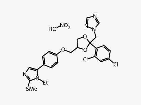 CCn1c(-c2ccc(OCC3COC(Cn4cncn4)(c4ccc(Cl)cc4Cl)O3)cc2)cnc1SC.O=[N+]([O-])O